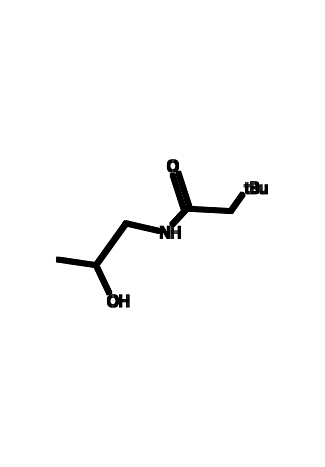 CC(O)CNC(=O)CC(C)(C)C